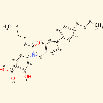 CCCCCC(=O)N(Cc1ccc(-c2ccc(CCCC)cc2)cc1)c1ccc(C(=O)O)c(O)c1